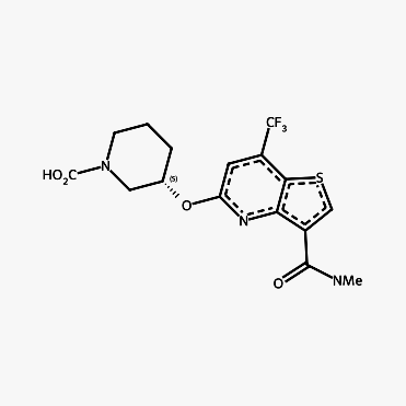 CNC(=O)c1csc2c(C(F)(F)F)cc(O[C@H]3CCCN(C(=O)O)C3)nc12